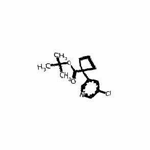 CC(C)(C)OC(=O)C1(c2cncc(Cl)c2)CCC1